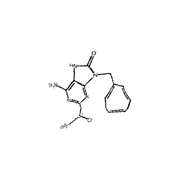 CCC[S+]([O-])c1nc(N)c2[nH]c(=O)n(Cc3ccccc3)c2n1